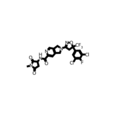 CN1C(=O)CC(NC(=O)c2cc3c(cn2)CN(C2=NOC(c4cc(Cl)c(F)c(Cl)c4)(C(F)(F)F)C2)C3)C1=O